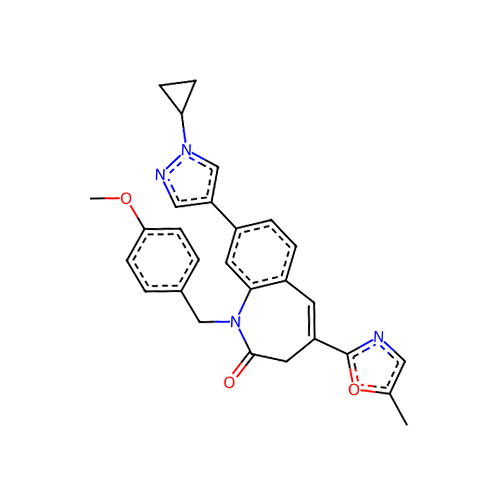 COc1ccc(CN2C(=O)CC(c3ncc(C)o3)=Cc3ccc(-c4cnn(C5CC5)c4)cc32)cc1